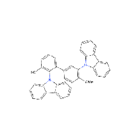 COc1ccc(-c2cccc(C#N)c2-n2c3ccccc3c3ccccc32)cc1-n1c2ccccc2c2ccccc21